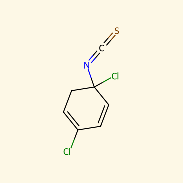 S=C=NC1(Cl)C=CC(Cl)=CC1